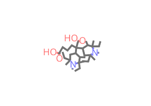 CCC1(C)CC(C(CCCC(=O)O)(C(=O)O)C2CC(C)(CC)N(C)C(C)(CC)C2C)C(C)C(C)(CC)N1C